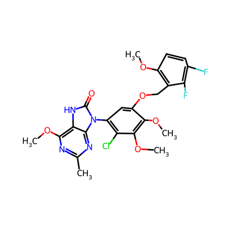 COc1ccc(F)c(F)c1COc1cc(-n2c(=O)[nH]c3c(OC)nc(C)nc32)c(Cl)c(OC)c1OC